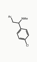 CNC([CH]C(C)=O)c1ccc(Cl)cc1